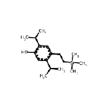 CC(C)c1cc(CC[Si](C)(C)C)c(C(C)C)cc1O